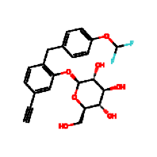 C#Cc1ccc(Cc2ccc(OC(F)F)cc2)c(O[C@@H]2O[C@H](CO)[C@@H](O)[C@H](O)[C@H]2O)c1